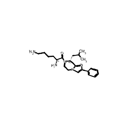 CC(C)C[C@@H]1c2nc(-c3ccccc3)cn2CCN1C(=O)[C@@H](N)CCCCN